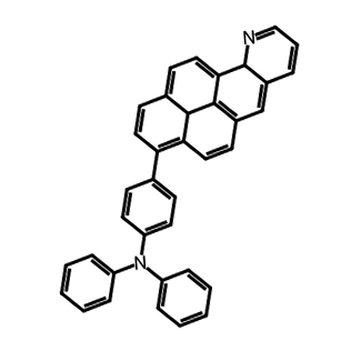 C1=CC2=CC3=C4C(=CC=C5C=CC(c6ccc(N(c7ccccc7)c7ccccc7)cc6)=C(C=C3)C54)C2N=C1